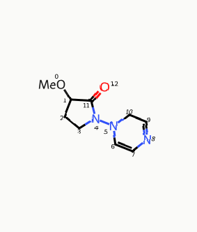 COC1CCN(N2C=CN=CC2)C1=O